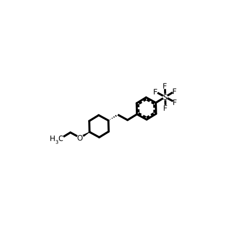 CCO[C@H]1CC[C@H](CCc2ccc(S(F)(F)(F)(F)F)cc2)CC1